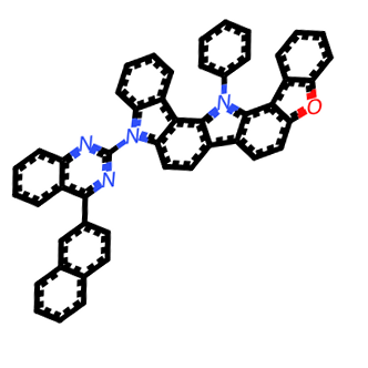 c1ccc(-n2c3c(ccc4oc5ccccc5c43)c3ccc4c(c5ccccc5n4-c4nc(-c5ccc6ccccc6c5)c5ccccc5n4)c32)cc1